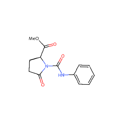 COC(=O)C1CCC(=O)N1C(=O)Nc1ccccc1